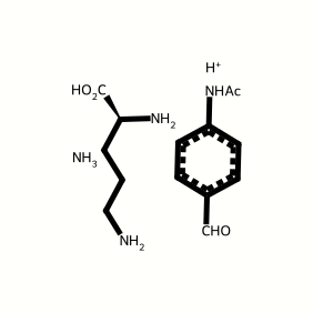 CC(=O)Nc1ccc(C=O)cc1.N.NCCC[C@H](N)C(=O)O.[H+]